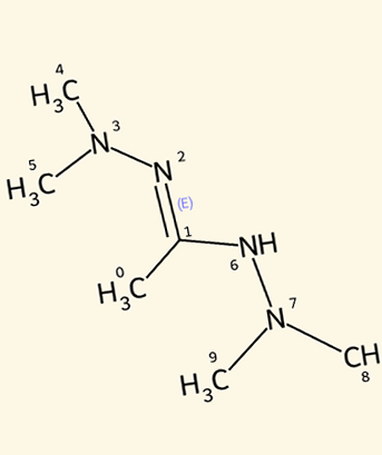 C/C(=N\N(C)C)NN(C)C